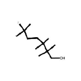 CC(C)(F)CCC(C)(C)C(C)(C)CO